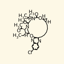 CC[C@@H]1[C@@H]2CN(C(=O)[C@H](C(C)(C)C)NC(=O)O[C@@H]3C[C@H]3CCCCCc3nc4ccc(Cl)cc4nc3O2)[C@@H]1C(C)=O